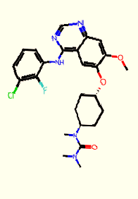 COc1cc2ncnc(Nc3cccc(Cl)c3F)c2cc1O[C@H]1CC[C@H](N(C)C(=O)N(C)C)CC1